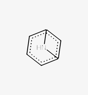 c1cc2cc(c1)N2